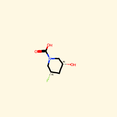 O=C(O)N1C[C@H](O)C[C@H](F)C1